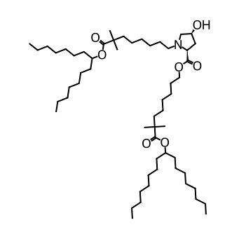 CCCCCCCCC(CCCCCCCC)OC(=O)C(C)(C)CCCCCCOC(=O)[C@@H]1C[C@H](O)CN1CCCCCCC(C)(C)C(=O)OC(CCCCCCC)CCCCCCC